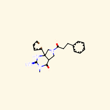 CN1C(=N)NC2(c3cccs3)CN(C(=O)CCc3ccccc3)CC2C1=O